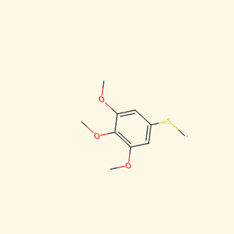 [CH2]Sc1cc(OC)c(OC)c(OC)c1